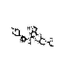 C=CC(=O)N1CC[C@@H](F)[C@@H](Oc2nc(Nc3cnn(C4CCN(C)CC4)c3)nc3[nH]ccc23)C1